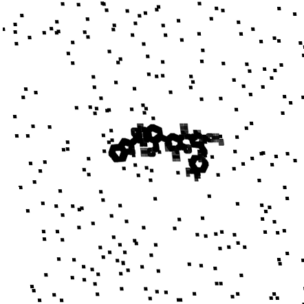 Cn1nc(Nc2cc(-c3ccc(F)c(NC(=O)c4cc5ccccc5s4)c3CO)n[nH]c2=O)cc1CN1CCC(F)(F)CC1